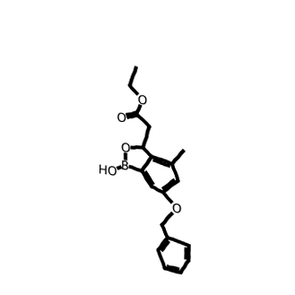 CCOC(=O)CC1OB(O)c2cc(OCc3ccccc3)cc(C)c21